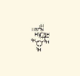 [2H]c1cc([2H])cc(C([2H])C([2H])([2H])NC(=N)NC(C)=N)c1